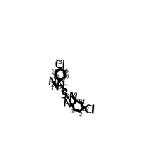 Clc1ccc2nn(SSn3nnc4cc(Cl)ccc43)nc2c1